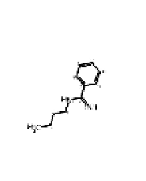 CCCCNC(=N)c1cc[c]cc1